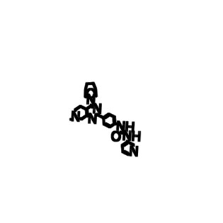 CN1CCc2c(nc(-c3ccc(NC(=O)Nc4cccnc4)cc3)nc2N2CC3CCC(C2)O3)C1